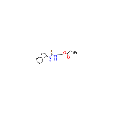 CC(C)CC(=O)OCCNC(=S)NC1CCc2ccccc21